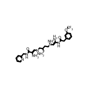 N/C(=C\N(N)CC(F)CCN(N)/C=C(\N)NC(=O)Cc1cccc(OC(F)(F)F)c1)C(=O)NCc1ccccn1